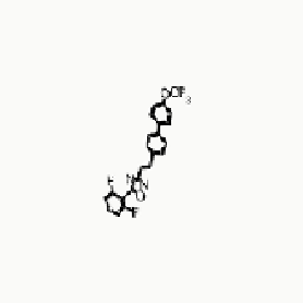 Fc1cccc(F)c1-c1nc(/C=C/c2ccc(-c3ccc(OC(F)(F)F)cc3)cc2)no1